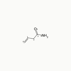 [CH]=CCC(N)=O